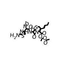 CC/C=C/C1=C(C(=O)OC(C)OC(C)=O)N2C(=O)C(NC(=O)/C(=N\OC)c3csc(N)n3)[C@@H]2SC1